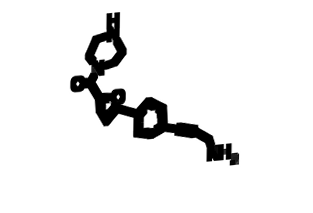 NCC#Cc1ccc(-c2ccc(C(=O)N3CCNCC3)o2)cc1